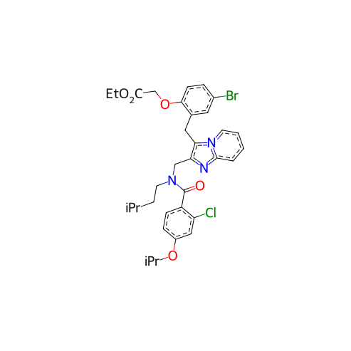 CCOC(=O)COc1ccc(Br)cc1Cc1c(CN(CCC(C)C)C(=O)c2ccc(OC(C)C)cc2Cl)nc2ccccn12